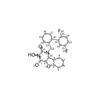 O=c1c2oc3ccccc3c2n(Cc2ccccc2-c2cc(F)ccc2F)c(=O)n1O